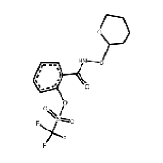 O=C(NOC1CCCCO1)c1ccccc1OS(=O)(=O)C(F)(F)F